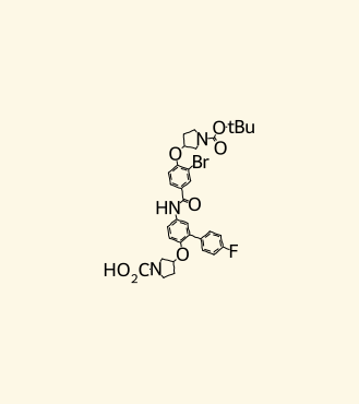 CC(C)(C)OC(=O)N1CCC(Oc2ccc(C(=O)Nc3ccc(OC4CCN(C(=O)O)C4)c(-c4ccc(F)cc4)c3)cc2Br)C1